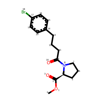 COC(=O)[C@@H]1CCCN1C(=O)CCCc1ccc(Br)cc1